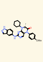 COc1ccc(N2C(=O)[C@@H](C)N(C3CCCCC3)c3nc(Nc4ccc5[nH]ncc5c4)ncc32)cc1